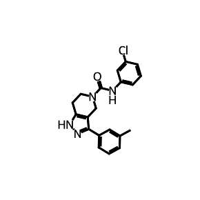 Cc1cccc(-c2n[nH]c3c2CN(C(=O)Nc2cccc(Cl)c2)CC3)c1